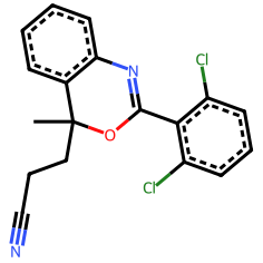 CC1(CCC#N)OC(c2c(Cl)cccc2Cl)=Nc2ccccc21